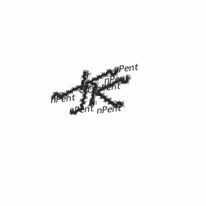 CCCCC/C=C\C/C=C\CCCCCCCCC(CC(CCCCCC/C=C\C/C=C\CCCCC)CCC(CCCCC)C(=O)N(CCCN(C)C)C(CCCCCCCC/C=C\C/C=C\CCCCC)CCCCCCCC/C=C\C/C=C\CCCCC)N(CCCN(C)C)C(=O)CCCCCCC/C=C\C/C=C\CCCCC